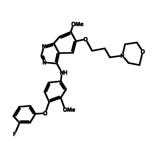 COc1cc2ncnc(Nc3ccc(Oc4cccc(F)c4)c(OC)c3)c2cc1OCCCN1CCOCC1